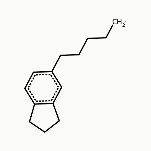 [CH2]CCCCc1ccc2c(c1)CCC2